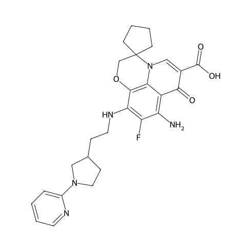 Nc1c(F)c(NCCC2CCN(c3ccccn3)C2)c2c3c1c(=O)c(C(=O)O)cn3C1(CCCC1)CO2